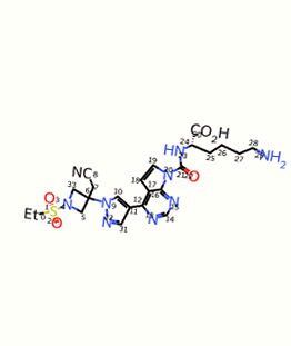 CCS(=O)(=O)N1CC(CC#N)(n2cc(-c3ncnc4c3ccn4C(=O)N[C@@H](CCCCN)C(=O)O)cn2)C1